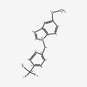 COc1ccc2c(c1)N=C[SH]2Cc1ccc(C(F)(F)F)cc1